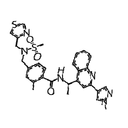 Cc1cc(CN(Cc2cscn2)S(C)(=O)=O)ccc1C(=O)N[C@H](C)c1cc(-c2cnn(C)c2)nc2ccccc12